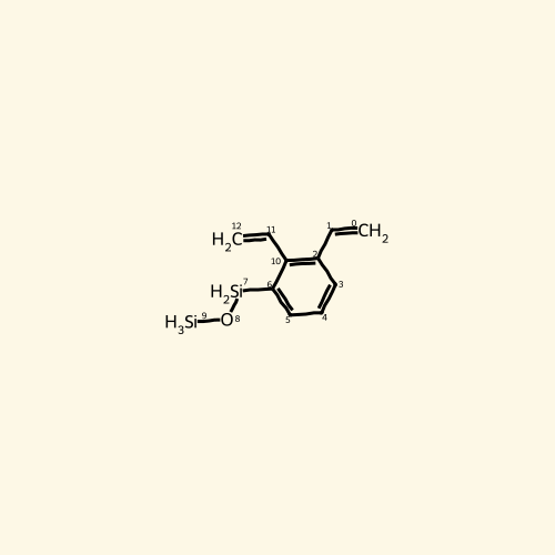 C=Cc1cccc([SiH2]O[SiH3])c1C=C